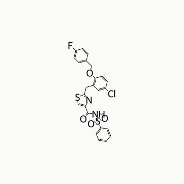 O=C(NS(=O)(=O)c1ccccc1)c1csc(Cc2cc(Cl)ccc2OCc2ccc(F)cc2)n1